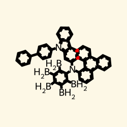 Bc1c(B)c(B)c(N(c2ccc3c4ccccc4n(-c4ccc(-c5ccccc5)cc4)c3c2)c2cccc3c4ccccc4c4ccccc4c23)c(B)c1B